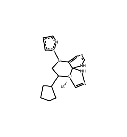 CC[N@@+]12C=NNC13NC=NC=C3N(n1cccn1)CC2C1CCCC1